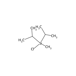 CC(C)[Si](C)(Cl)C(C)C